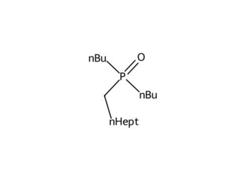 CCCCCCCCP(=O)(CCCC)CCCC